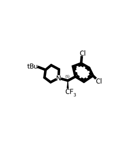 CC(C)(C)C1CCN([C@@H](c2cc(Cl)cc(Cl)c2)C(F)(F)F)CC1